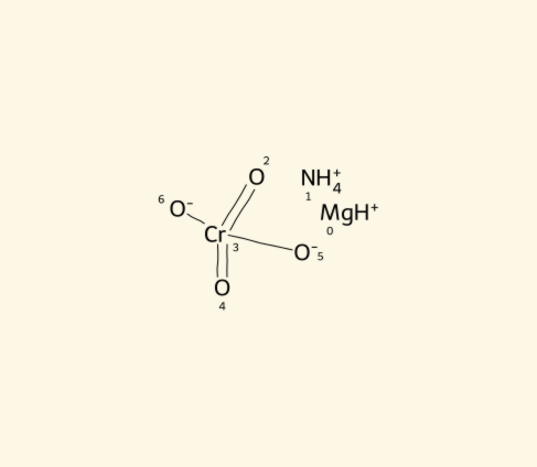 [MgH+].[NH4+].[O]=[Cr](=[O])([O-])[O-]